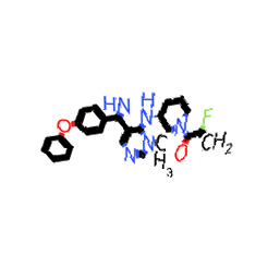 C=C(F)C(=O)N1CCC[C@@H](NC2C(C(=N)c3ccc(Oc4ccccc4)cc3)=CN=CN2C)C1